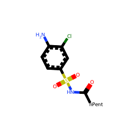 CCCCCC(=O)NS(=O)(=O)c1ccc(N)c(Cl)c1